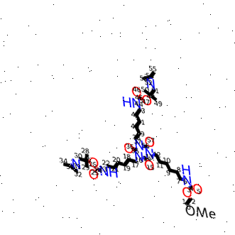 COCCOC(=O)NCCCCCCn1c(=O)n(CCCCCCNC(=O)OC(C)(C)CN2CC2C)c(=O)n(CCCCCCNC(=O)OC(C)(C)CN2CC2C)c1=O